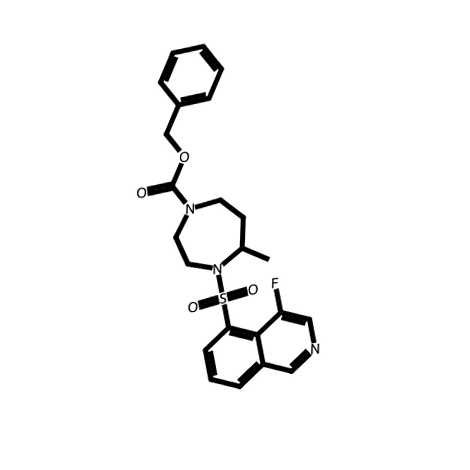 CC1CCN(C(=O)OCc2ccccc2)CCN1S(=O)(=O)c1cccc2cncc(F)c12